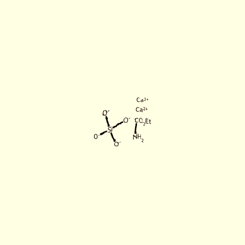 CCOC(N)=O.[Ca+2].[Ca+2].[O-][Si]([O-])([O-])[O-]